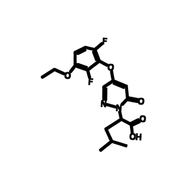 CCOc1ccc(F)c(Oc2cnn(C(CC(C)C)C(=O)O)c(=O)c2)c1F